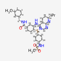 Cc1cccc(CNC(=O)c2ccc(Sc3ccc(NS(C)(=O)=O)cc3)c(Nc3ncnc4nc(C(C)C)ccc34)c2)c1